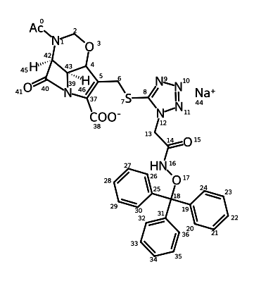 CC(=O)N1COC2C(CSc3nnnn3CC(=O)NOC(c3ccccc3)(c3ccccc3)c3ccccc3)=C(C(=O)[O-])N3C(=O)[C@@H]1[C@@H]23.[Na+]